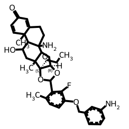 CCC(=O)[C@@]12OC(c3c(C)ccc(OCc4cccc(N)c4)c3F)O[C@@H]1CC1C3(N)CCC4=CC(=O)C=CC4(C)C3C(O)CC12C